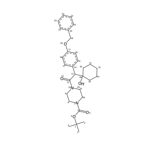 CC(C)(C)OC(=O)N1CCN(C(=O)C(c2ccc(OCc3ccccc3)cc2)C2(O)CCCCC2)CC1